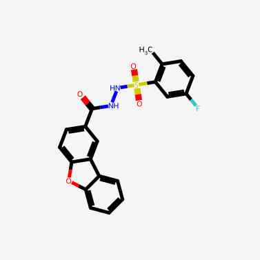 Cc1ccc(F)cc1S(=O)(=O)NNC(=O)c1ccc2oc3ccccc3c2c1